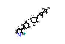 Fc1ncccc1-c1ccc([C@H]2CC[C@H](C3C4C3C43C4CC43)CC2)cc1